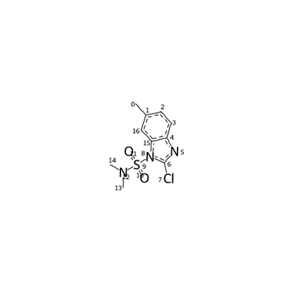 Cc1ccc2nc(Cl)n(S(=O)(=O)N(C)C)c2c1